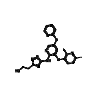 Cc1ccc(Oc2cc(Sc3ccccn3)cnc2Nc2nc(CCO)ns2)c(C)n1